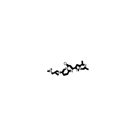 Cc1cn2nc(-c3cc(=O)n4cc(N5CC(CN(C)C)C5)ccc4n3)cc2c(C)n1